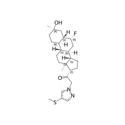 CSc1cnn(CC(=O)[C@H]2CC[C@H]3[C@@H]4C[C@@H](F)[C@H]5C[C@](C)(O)CC[C@@H]5[C@H]4CC[C@]23C)c1